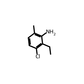 CCc1c(Cl)ccc(C)c1N